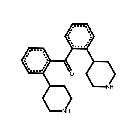 O=C(c1ccccc1C1CCNCC1)c1ccccc1C1CCNCC1